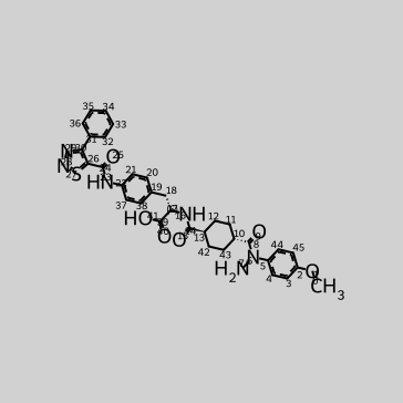 COc1ccc(N(N)C(=O)[C@H]2CC[C@H](C(=O)N[C@@H](Cc3ccc(NC(=O)c4snnc4-c4ccccc4)cc3)C(=O)O)CC2)cc1